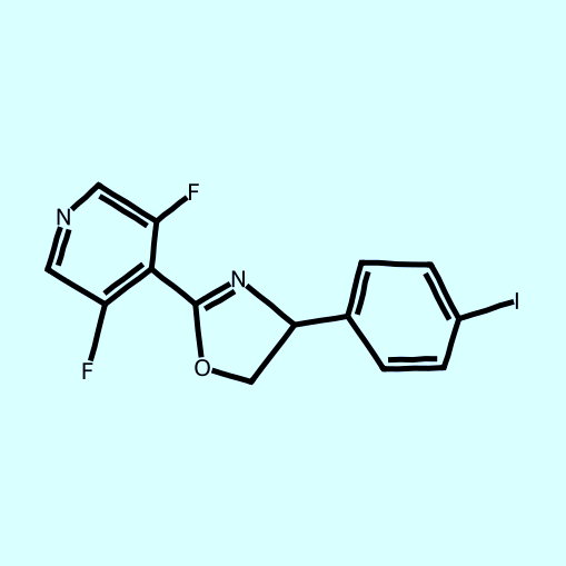 Fc1cncc(F)c1C1=NC(c2ccc(I)cc2)CO1